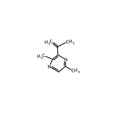 C=C(C)c1nc(C)cnc1C